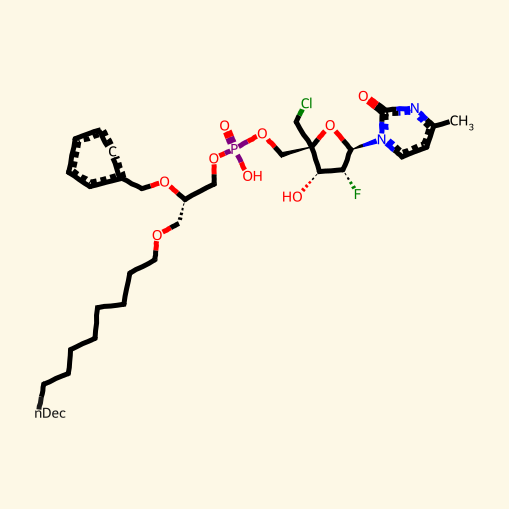 CCCCCCCCCCCCCCCCCCOC[C@@H](COP(=O)(O)OC[C@@]1(CCl)O[C@@H](n2ccc(C)nc2=O)[C@H](F)[C@@H]1O)OCc1ccccc1